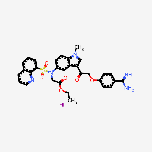 CCOC(=O)CN(c1ccc2c(c1)c(C(=O)COc1ccc(C(=N)N)cc1)cn2C)S(=O)(=O)c1cccc2cccnc12.I